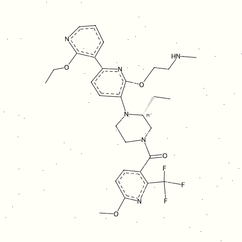 CCOc1ncccc1-c1ccc(N2CCN(C(=O)c3ccc(OC)nc3C(F)(F)F)C[C@H]2CC)c(OCCNC)n1